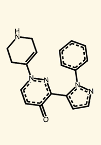 O=c1ccn(C2=CCNCC2)nc1-c1ccnn1-c1ccccc1